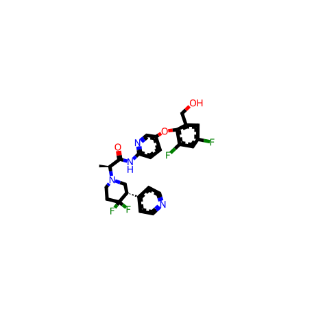 C[C@@H](C(=O)Nc1ccc(Oc2c(F)cc(F)cc2CO)cn1)N1CCC(F)(F)[C@@H](c2ccncc2)C1